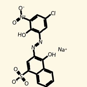 O=[N+]([O-])c1cc(Cl)cc(N=Nc2cc(S(=O)(=O)[O-])c3ccccc3c2O)c1O.[Na+]